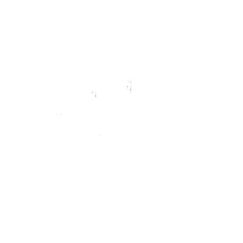 O=S1(=O)N=C(NC2CCCCC2)OC2(CCC2)C12CC2